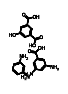 Nc1cc(N)cc(C(=O)O)c1.Nc1cccc(N)c1.O=C(O)c1cc(O)cc(C(=O)O)c1